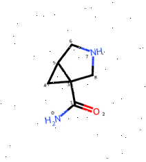 NC(=O)C12[CH]C1CNC2